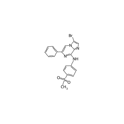 CS(=O)(=O)c1ccc(Nc2nc(-c3ccccc3)cn3c(Br)cnc23)cc1